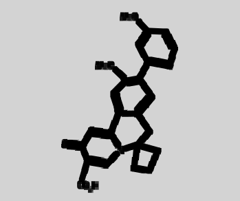 COc1cccc(-c2cc3c(cc2OC)-c2cc(=O)c(C(=O)O)cn2C2(CCC2)C3)c1